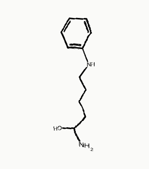 NC(O)CCCCNc1ccccc1